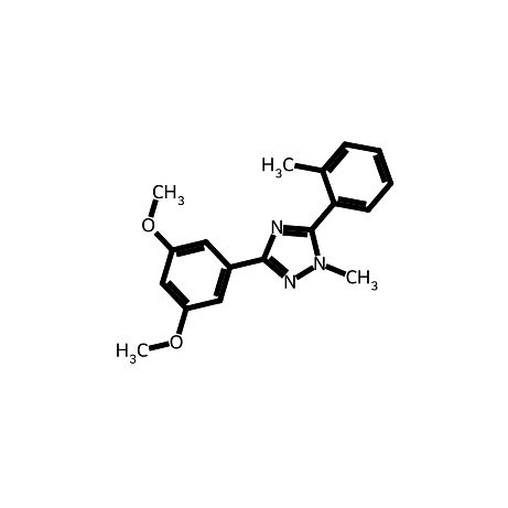 COc1cc(OC)cc(-c2nc(-c3ccccc3C)n(C)n2)c1